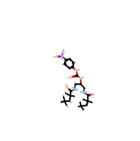 CC(C)(C)CC(C)(C)C(=O)NCC(CNC(=O)C(C)(C)CC(C)(C)C)OC(=O)Oc1ccc([N+](=O)[O-])cc1